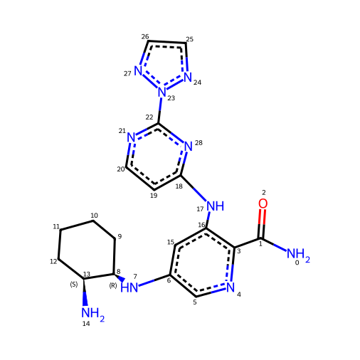 NC(=O)c1ncc(N[C@@H]2CCCC[C@@H]2N)cc1Nc1ccnc(-n2nccn2)n1